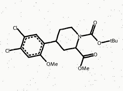 COC(=O)C1CC(c2cc(Cl)c(Cl)cc2OC)CCN1C(=O)OC(C)(C)C